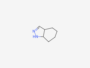 C1=NNC2CCCCC12